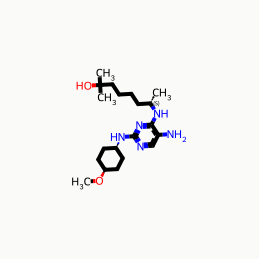 CO[C@H]1CC[C@H](Nc2ncc(N)c(N[C@@H](C)CCCCC(C)(C)O)n2)CC1